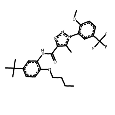 CCCCOc1ccc(C(C)(C)C)cc1NC(=O)c1nnn(-c2cc(C(F)(F)F)ccc2OC)c1C